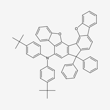 CC(C)(C)c1ccc(N(c2ccc(C(C)(C)C)cc2)c2cc3c(c4oc5ccccc5c24)-c2c(ccc4c2oc2ccccc24)C3(c2ccccc2)c2ccccc2)cc1